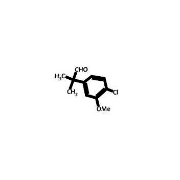 COc1cc(C(C)(C)C=O)ccc1Cl